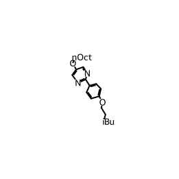 CCCCCCCCOc1cnc(-c2ccc(OCCC(C)CC)cc2)nc1